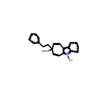 CCCCCCC1(CCc2ccccc2)C=Cc2c(n(S)c3ccccc23)C=C1